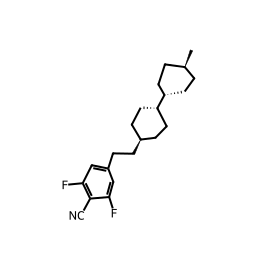 C[C@H]1CC[C@H]([C@H]2CC[C@H](CCc3cc(F)c(C#N)c(F)c3)CC2)CC1